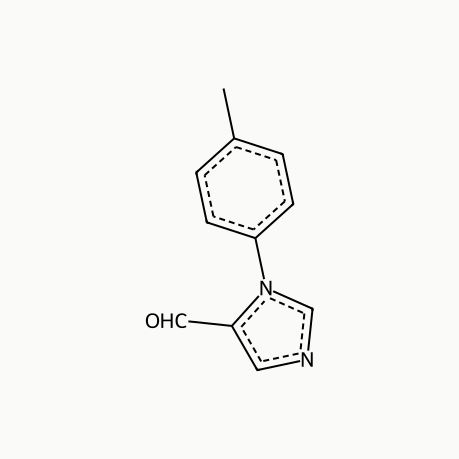 Cc1ccc(-n2cncc2C=O)cc1